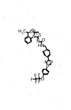 CC(C)c1ccccc1N1C(=O)CSC1=NC(=O)NCc1ccc(-c2ncn(-c3ccc(OC(F)(F)C(F)(F)F)cc3)n2)cc1